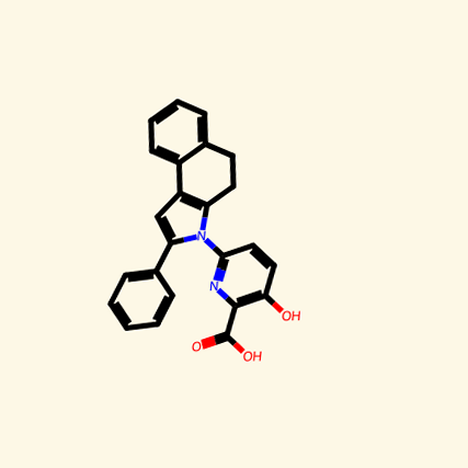 O=C(O)c1nc(-n2c(-c3ccccc3)cc3c2CCc2ccccc2-3)ccc1O